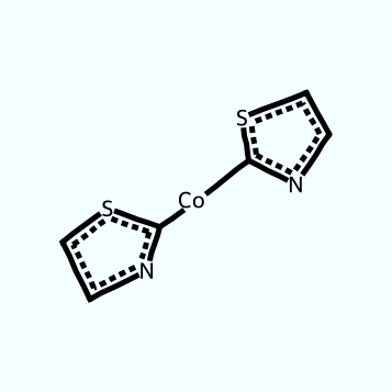 c1cs[c]([Co][c]2nccs2)n1